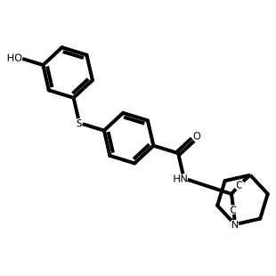 O=C(NC1CC2CCN(CC2)C1)c1ccc(Sc2cccc(O)c2)cc1